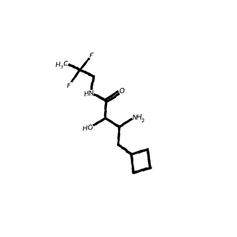 CC(F)(F)CNC(=O)C(O)C(N)CC1CCC1